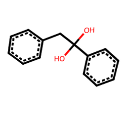 OC(O)(Cc1ccccc1)c1ccccc1